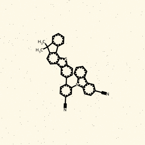 CC1(C)c2ccccc2-c2c1ccc1c2sc2ccc(-c3ccc(C#N)cc3-n3c4ccccc4c4cc(C#N)ccc43)cc21